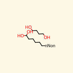 CCCCCCCCCCCCCCC(O)O.OCCCCO